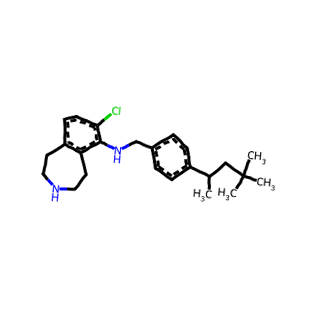 CC(CC(C)(C)C)c1ccc(CNc2c(Cl)ccc3c2CCNCC3)cc1